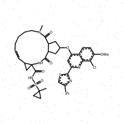 COc1ccc2c(OC3CC4C(=O)NC5(C(=O)NS(=O)(=O)C6(C)CC6)CC5C=CCCCCN(C)C(=O)C4C3)cc(-c3nc(C(C)C)cs3)nc2c1Cl